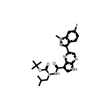 CC(C)CN(NC(=O)c1c[nH]c2ncc(-c3nn(C)c4cc(F)ccc34)nc12)C(=O)OC(C)(C)C